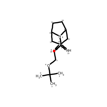 CC(C)(C)OCCCN1C2CCC1CS(=N)(=O)C2